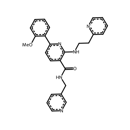 COc1ccccc1-c1ccc(C(=O)NCc2cccnc2)c(NCCc2ccccn2)n1